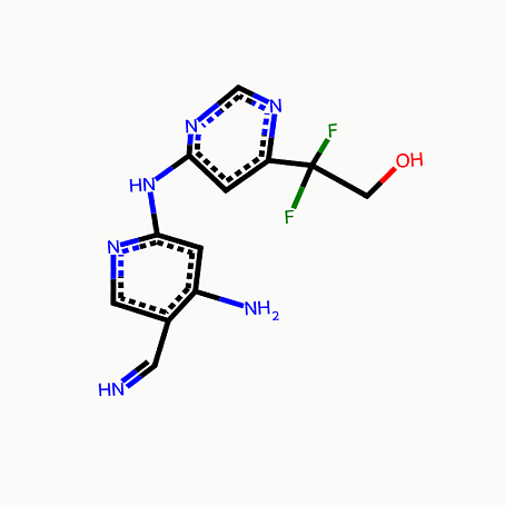 N=Cc1cnc(Nc2cc(C(F)(F)CO)ncn2)cc1N